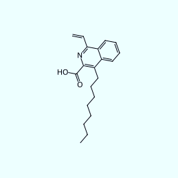 C=Cc1nc(C(=O)O)c(CCCCCCCC)c2ccccc12